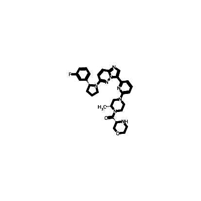 C[C@@H]1CN(c2cccc(-c3cnc4ccc(N5CCC[C@@H]5c5cccc(F)c5)nn34)n2)CCN1C(=O)[C@H]1COCCN1